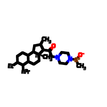 CCCC1C(CC)CCC2C1CC[C@@]1(C)C2CC(C)C1C(=O)CN1CCN([S+](C)[O-])CC1